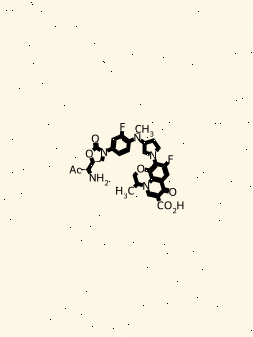 CC(=O)[C@@H](N)[C@H]1CN(c2ccc(N(C)C3CCN(c4c(F)cc5c(=O)c(C(=O)O)cn6c5c4OCC6C)C3)c(F)c2)C(=O)O1